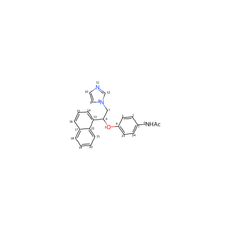 CC(=O)Nc1ccc(OC(Cn2ccnc2)c2cccc3ccccc23)cc1